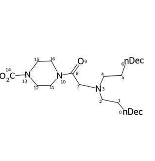 CCCCCCCCCCCCN(CCCCCCCCCCCC)CC(=O)N1CCN(C(=O)O)CC1